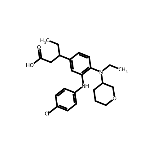 CCC(CC(=O)O)c1ccc(N(CC)C2CCCOC2)c(Nc2ccc(Cl)cc2)c1